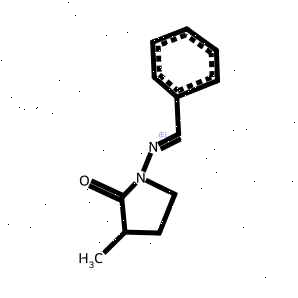 CC1CCN(/N=C/c2ccccc2)C1=O